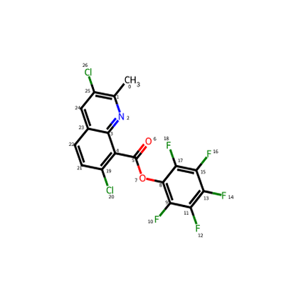 Cc1nc2c(C(=O)Oc3c(F)c(F)c(F)c(F)c3F)c(Cl)ccc2cc1Cl